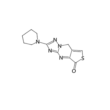 O=C1SC=C2Cn3nc(N4CCCCC4)nc3N=C12